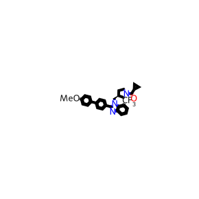 COc1ccc(-c2ccc(-c3nc4cccc(C(F)(F)F)c4n3C[C@H]3CCN(C(=O)C4CC4)C3)cc2)cc1